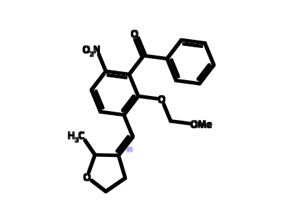 COCOc1c(/C=C2/CCOC2C)ccc([N+](=O)[O-])c1C(=O)c1ccccc1